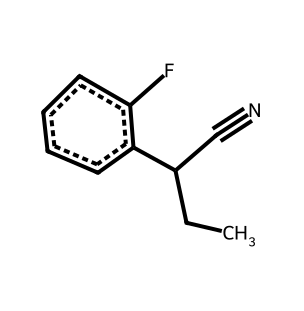 CCC(C#N)c1ccccc1F